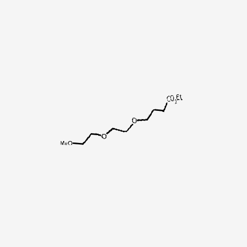 CCOC(=O)CCCOCCOCCOC